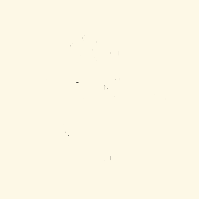 COCCCN1CCOc2ccc(CO[C@H]3CN(S(=O)(=O)c4ccc(C)cc4)[C@@H](C[C@@H](C)NC(=O)C(C)(C)C)C[C@@H]3c3ccc(OC)cc3)cc21